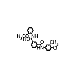 COc1ccccc1NC(O)c1cccc(C(=O)Nc2ccc(Cl)c(C)c2)c1